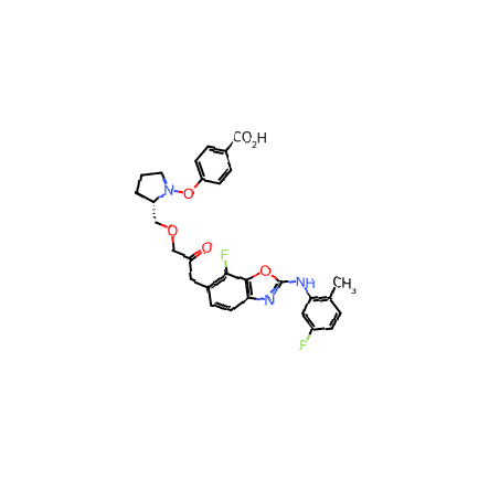 Cc1ccc(F)cc1Nc1nc2ccc(CC(=O)COC[C@@H]3CCCN3Oc3ccc(C(=O)O)cc3)c(F)c2o1